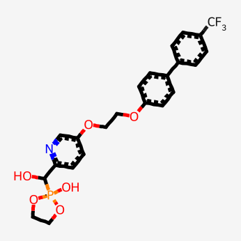 OC(c1ccc(OCCOc2ccc(-c3ccc(C(F)(F)F)cc3)cc2)cn1)[P]1(O)OCCO1